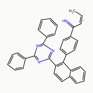 C/C=C\C(=N)c1ccc(-c2c(-c3nc(-c4ccccc4)nc(-c4ccccc4)n3)ccc3ccccc23)cc1